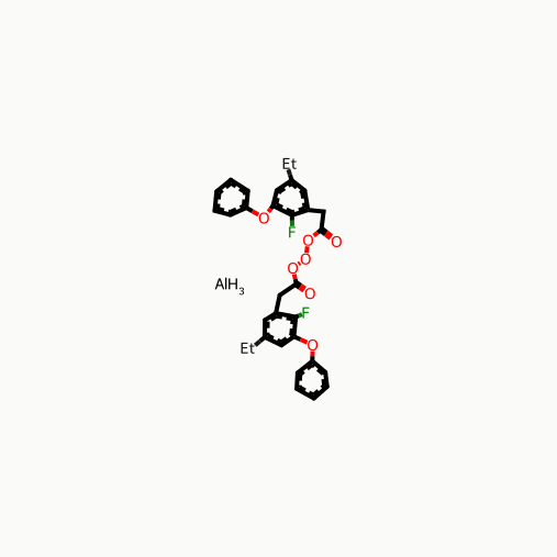 CCc1cc(CC(=O)OOOC(=O)Cc2cc(CC)cc(Oc3ccccc3)c2F)c(F)c(Oc2ccccc2)c1.[AlH3]